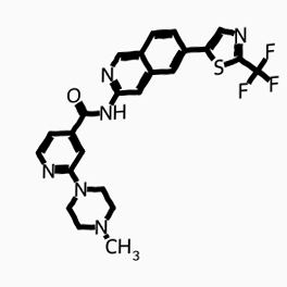 CN1CCN(c2cc(C(=O)Nc3cc4cc(-c5cnc(C(F)(F)F)s5)ccc4cn3)ccn2)CC1